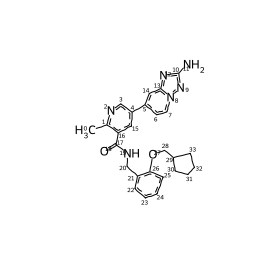 Cc1ncc(-c2ccn3nc(N)nc3c2)cc1C(=O)NCc1ccccc1OCC1CCCC1